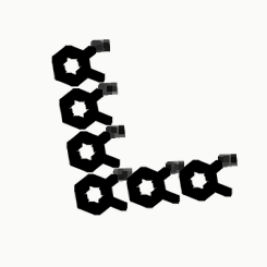 Cc1ccccc1O.Cc1ccccc1O.Cc1ccccc1O.Cc1ccccc1O.Cc1ccccc1O.Cc1ccccc1O